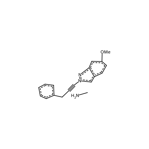 CN.COc1ccc2cn(C#CCc3ccccc3)nc2c1